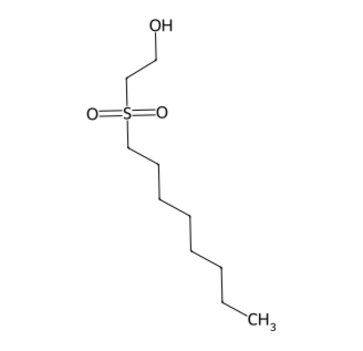 CCCCCCCCS(=O)(=O)CCO